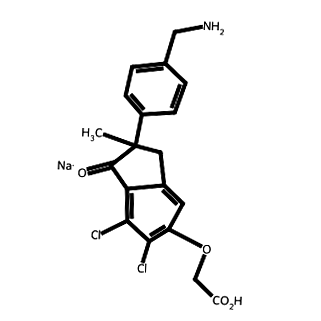 CC1(c2ccc(CN)cc2)Cc2cc(OCC(=O)O)c(Cl)c(Cl)c2C1=O.[Na]